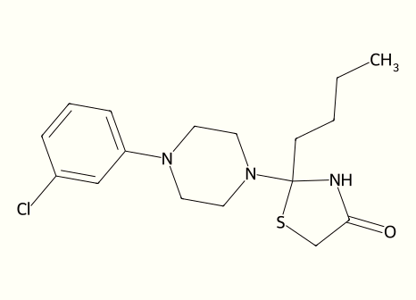 CCCCC1(N2CCN(c3cccc(Cl)c3)CC2)NC(=O)CS1